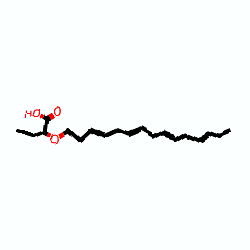 CCC=CCC=CCC=CCC=CCCOC(CC)C(=O)O